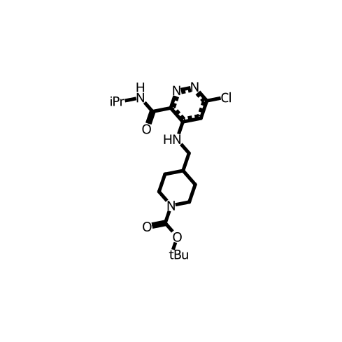 CC(C)NC(=O)c1nnc(Cl)cc1NCC1CCN(C(=O)OC(C)(C)C)CC1